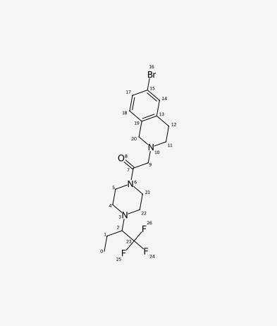 CCC(N1CCN(C(=O)CN2CCc3cc(Br)ccc3C2)CC1)C(F)(F)F